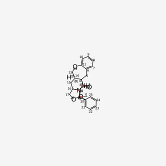 COC1NC23Cc4ccccc4OC[C@@H]2CC12CO[C@H](c1ccccc1)N2C3=O